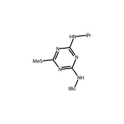 CSc1nc(NC(C)C)nc(NC(C)(C)C)n1